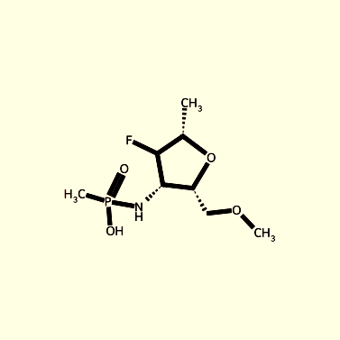 COC[C@H]1O[C@@H](C)C(F)[C@H]1NP(C)(=O)O